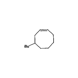 CCC(C)C1CC=CCCCC1